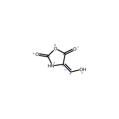 O=C1N/C(=C/O)C(=O)O1